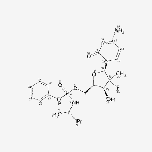 CC(C)[C@H](C)NP(=O)(OC[C@H]1O[C@@H](n2ccc(N)nc2=O)C(C)(F)[C@H]1O)Oc1ccccc1